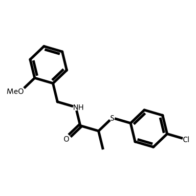 COc1ccccc1CNC(=O)C(C)Sc1ccc(Cl)cc1